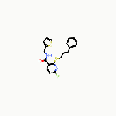 O=C(NCc1cccs1)c1ccc(F)nc1SCCCc1ccccc1